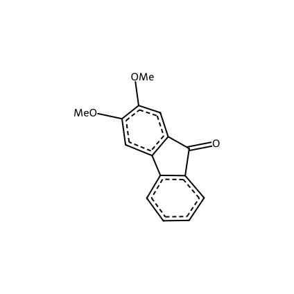 COc1cc2c(cc1OC)-c1ccccc1C2=O